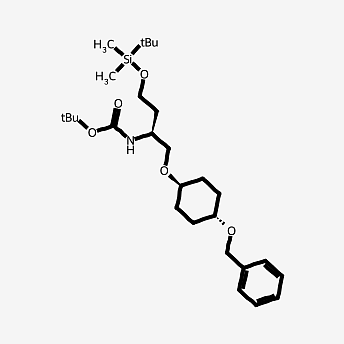 CC(C)(C)OC(=O)N[C@@H](CCO[Si](C)(C)C(C)(C)C)CO[C@H]1CC[C@H](OCc2ccccc2)CC1